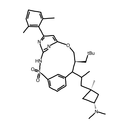 Cc1cccc(C)c1-c1cc2nc(n1)NS(=O)(=O)c1cccc(c1)C(C(C)C[C@]1(C)C[C@@H](N(C)C)C1)[C@H](CC(C)(C)C)CO2